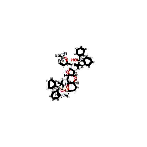 C=CC(C[C@H]1O[C@H]2[C@@H](CC(C)(C)[Si](O)(c3ccccc3)c3ccccc3)[C@H]3O[C@@H](CC(=O)O)CC[C@@H]3O[C@H]2[C@H]1CC(C)(C)[Si](O)(c1ccccc1)c1ccccc1)O[Si](CC)(CC)CC